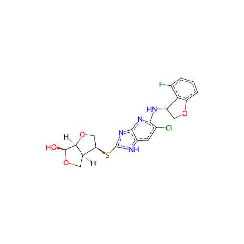 O[C@@H]1OC[C@H]2[C@@H]1OC[C@H]2Sc1nc2nc(NC3COc4cccc(F)c43)c(Cl)cc2[nH]1